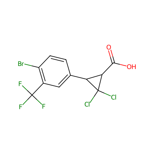 O=C(O)C1C(c2ccc(Br)c(C(F)(F)F)c2)C1(Cl)Cl